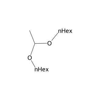 CCCCCCOC(C)OCCCCCC